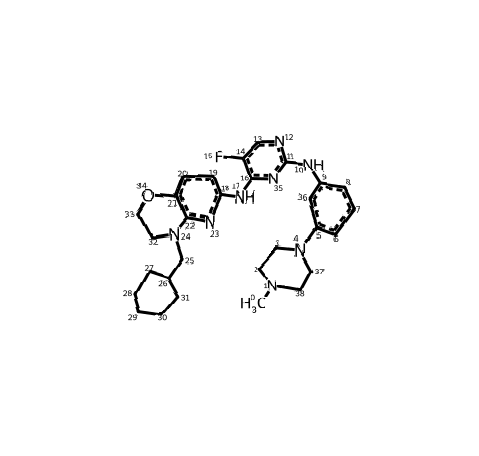 CN1CCN(c2cccc(Nc3ncc(F)c(Nc4ccc5c(n4)N(CC4CCCCC4)CCO5)n3)c2)CC1